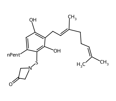 CCCCCc1cc(O)c(C/C=C(\C)CCC=C(C)C)c(O)c1SN1CC(=O)C1